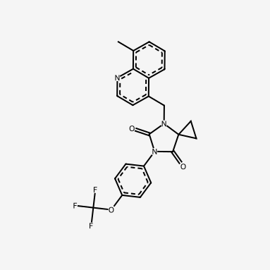 Cc1cccc2c(CN3C(=O)N(c4ccc(OC(F)(F)F)cc4)C(=O)C34CC4)ccnc12